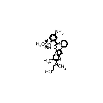 Cc1cn2nc([C@@H]3CCCCN3C(=O)c3cc(N)ccc3NS(C)(=O)=O)cc2nc1N(C)CCO